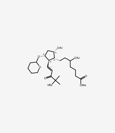 CCCCC(C)(C)C(=O)/C=C/[C@@H]1[C@@H](CCC(CCCC(=O)OC)OC(C)=O)[C@@H](OC(C)=O)C[C@H]1OC1CCCCO1